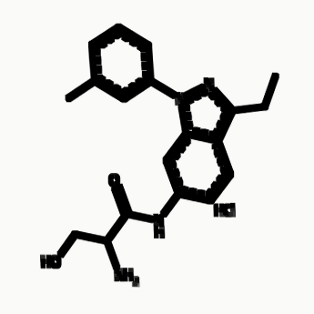 CCc1nn(-c2cccc(C)c2)c2cc(NC(=O)C(N)CO)ccc12.Cl